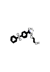 C/C(=N/OCCO)c1ccc(S(=O)(=O)c2ccccc2)cc1